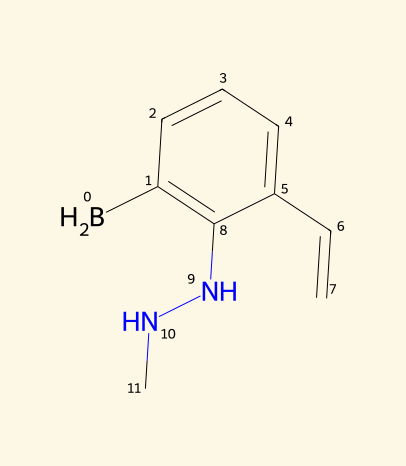 Bc1cccc(C=C)c1NNC